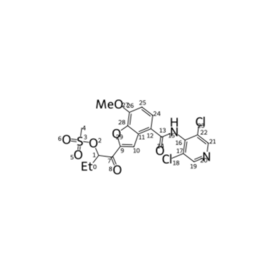 CCC(OS(C)(=O)=O)C(=O)c1cc2c(C(=O)Nc3c(Cl)cncc3Cl)ccc(OC)c2o1